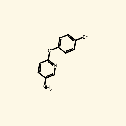 Nc1ccc(Oc2ccc(Br)cc2)nc1